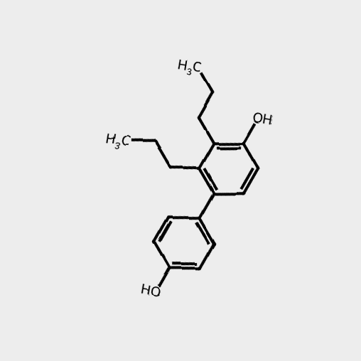 CCCc1c(O)ccc(-c2ccc(O)cc2)c1CCC